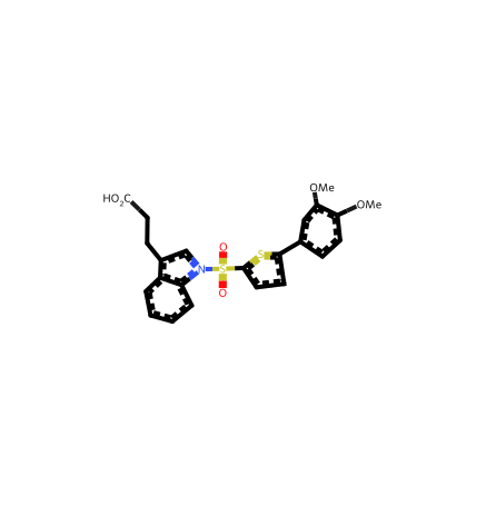 COc1ccc(-c2ccc(S(=O)(=O)n3cc(CCC(=O)O)c4ccccc43)s2)cc1OC